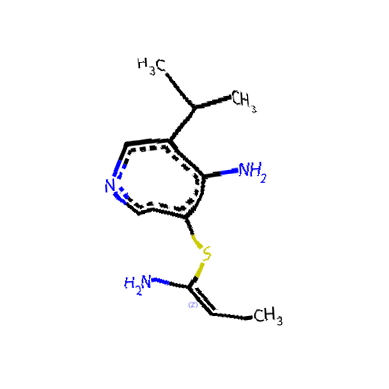 C/C=C(/N)Sc1cncc(C(C)C)c1N